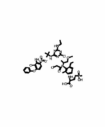 CCNc1nc(Cl)nc(NC(C)(C)C)n1.CCc1cccc(C)c1N(C(=O)CCl)C(C)COC.CP(=O)(O)CCC(N)C(=O)O.Nc1c([N+](=O)[O-])ccc(Oc2ccccc2)c1Cl